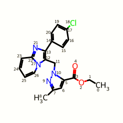 CCOC(=O)c1cc(C)nn1Cc1c(-c2ccc(Cl)cc2)nc2ccccn12